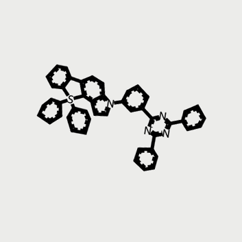 c1ccc(-c2nc(-c3ccccc3)nc(-c3cccc(-n4ccc5c6c(ccc54)-c4ccccc4S6(c4ccccc4)c4ccccc4)c3)n2)cc1